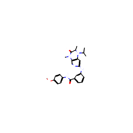 COc1ccc(NC(=O)c2cccc(Nc3cc4c(cn3)N(C)C(=O)C(C)N4C(C)C)c2)cc1